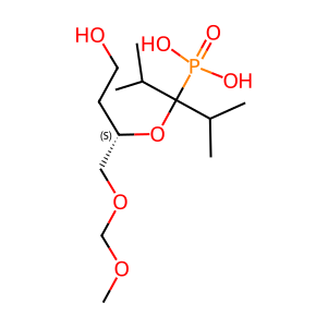 COCOC[C@H](CCO)OC(C(C)C)(C(C)C)P(=O)(O)O